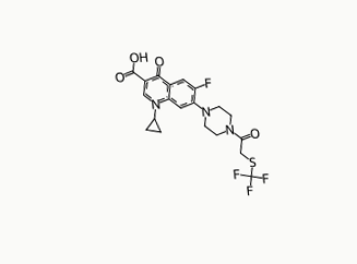 O=C(O)c1cn(C2CC2)c2cc(N3CCN(C(=O)CSC(F)(F)F)CC3)c(F)cc2c1=O